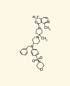 Cc1ccnc(C)c1C(=O)N1CCC(C)(N2CCC(N(Cc3ccccc3)c3ccc(S(=O)(=O)N4CCOCC4)cc3)CC2)CC1